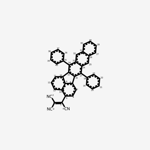 N#CC(C#N)=C(C#N)c1ccc2c3c(cccc13)-c1c-2c(-c2ccccc2)c2cc3ccccc3cc2c1-c1ccccc1